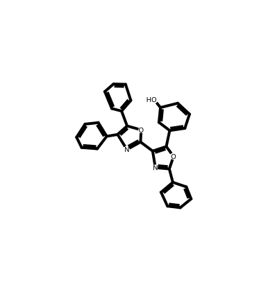 Oc1cccc(-c2oc(-c3ccccc3)nc2-c2nc(-c3ccccc3)c(-c3ccccc3)o2)c1